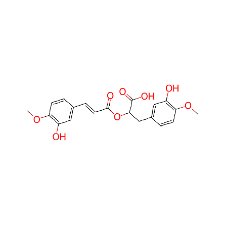 COc1ccc(C=CC(=O)OC(Cc2ccc(OC)c(O)c2)C(=O)O)cc1O